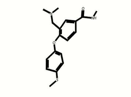 CNC(=O)c1ccc(Oc2ccc(SC)cc2)c(CN(C)C)c1